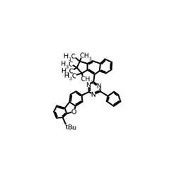 CC(C)(C)c1cccc2c1oc1cc(-c3nc(-c4ccccc4)nc(-c4c5c(cc6ccccc46)C(C)(C)C(C)(C)C5(C)C)n3)ccc12